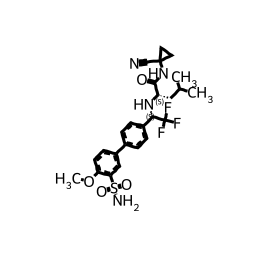 COc1ccc(-c2ccc([C@H](N[C@@H](CC(C)C)C(=O)NC3(C#N)CC3)C(F)(F)F)cc2)cc1S(N)(=O)=O